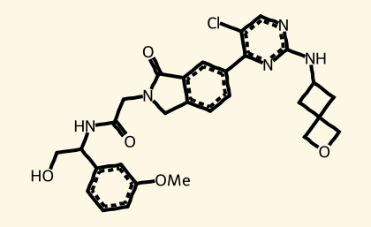 COc1cccc(C(CO)NC(=O)CN2Cc3ccc(-c4nc(NC5CC6(COC6)C5)ncc4Cl)cc3C2=O)c1